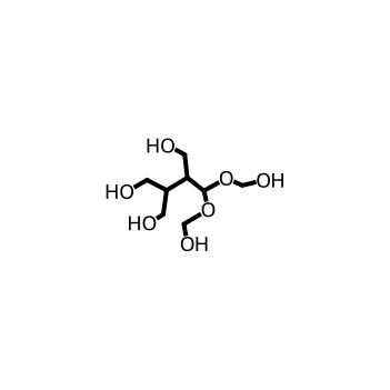 OCOC(OCO)C(CO)C(CO)CO